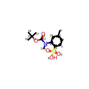 Cc1ccc(S(=O)(=O)O)c(N(C)C(=O)OC(C)(C)C)c1